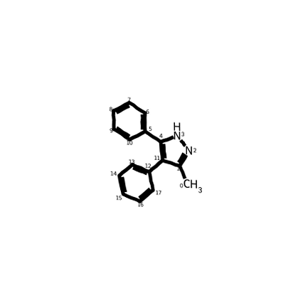 Cc1n[nH]c(-c2ccccc2)c1-c1ccccc1